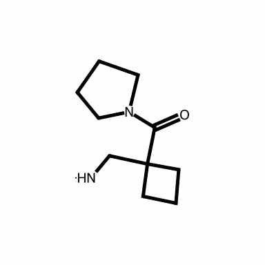 [NH]CC1(C(=O)N2CCCC2)CCC1